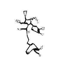 CN1C(=O)C(O)=C(C(=O)NCCCc2ccc(Cl)c(Cl)c2)C1c1ccc(Cl)c(Cl)c1